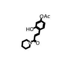 CC(=O)Oc1ccc(/C=C/C(=O)N2CCCCC2)c(O)c1